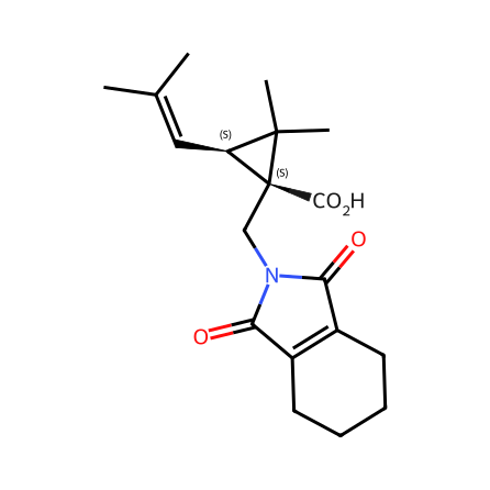 CC(C)=C[C@H]1C(C)(C)[C@@]1(CN1C(=O)C2=C(CCCC2)C1=O)C(=O)O